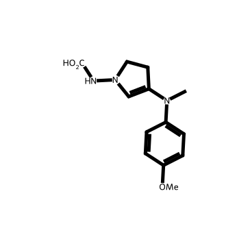 COc1ccc(N(C)C2=CN(NC(=O)O)CC2)cc1